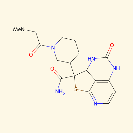 CNCC(=O)N1CCCC(C2(C(N)=O)Sc3nccc4c3C2NC(=O)N4)C1